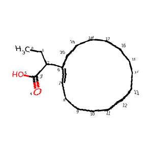 CCC(C(=O)O)C1=CCCCCCCCCCCCCC1